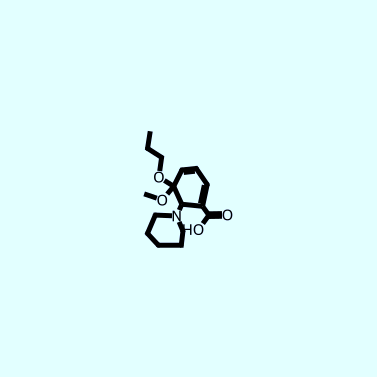 CCCOC1(OC)C=CC=C(C(=O)O)C1N1CCCCC1